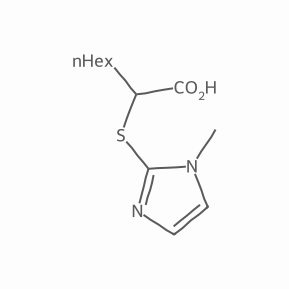 CCCCCCC(Sc1nccn1C)C(=O)O